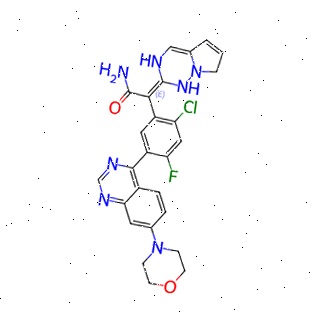 NC(=O)/C(=C1\NC=C2C=CCN2N1)c1cc(-c2ncnc3cc(N4CCOCC4)ccc23)c(F)cc1Cl